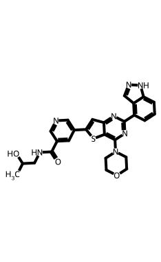 CC(O)CNC(=O)c1cncc(-c2cc3nc(-c4cccc5[nH]ncc45)nc(N4CCOCC4)c3s2)c1